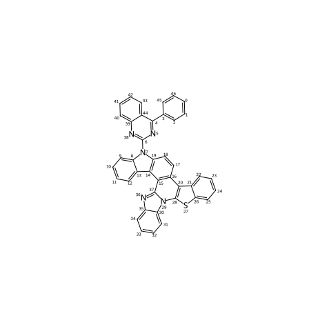 c1ccc(-c2nc(-n3c4ccccc4c4c5c(ccc43)c3c4ccccc4sc3n3c4ccccc4nc53)nc3ccccc23)cc1